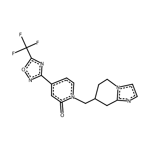 O=c1cc(-c2noc(C(F)(F)F)n2)ccn1CC1CCn2ccnc2C1